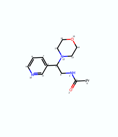 CC(C)C(=O)NCC(c1cccnc1)N1CCOCC1